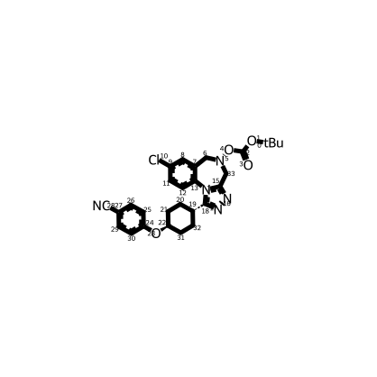 CC(C)(C)OC(=O)ON1Cc2cc(Cl)ccc2-n2c(nnc2[C@H]2CC[C@H](Oc3ccc(C#N)cc3)CC2)C1